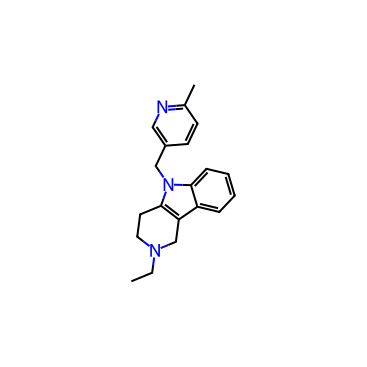 CCN1CCc2c(c3ccccc3n2Cc2ccc(C)nc2)C1